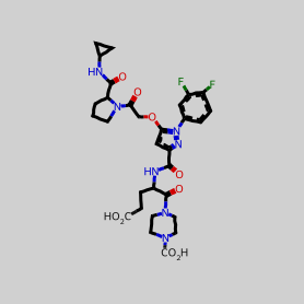 O=C(O)CCC(NC(=O)c1cc(OCC(=O)N2CCCC2C(=O)NC2CC2)n(-c2ccc(F)c(F)c2)n1)C(=O)N1CCN(C(=O)O)CC1